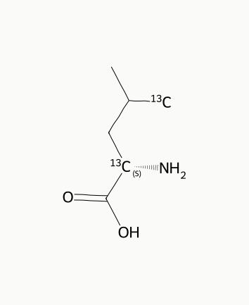 CC([13CH3])C[13C@H](N)C(=O)O